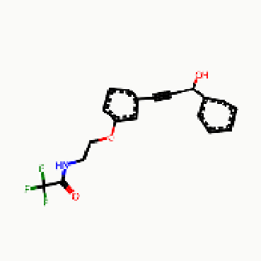 O=C(NCCOc1cccc(C#CC(O)c2ccccc2)c1)C(F)(F)F